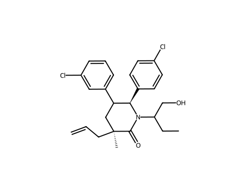 C=CC[C@@]1(C)CC(c2cccc(Cl)c2)[C@@H](c2ccc(Cl)cc2)N(C(CC)CO)C1=O